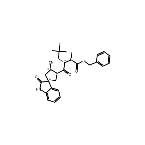 CN(C(=O)OCc1ccccc1)[C@@H](CC(C)(C)F)C(=O)N1C[C@]2(C[C@H]1C#N)C(=O)Nc1ccccc12